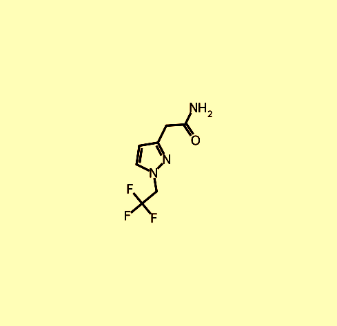 NC(=O)Cc1ccn(CC(F)(F)F)n1